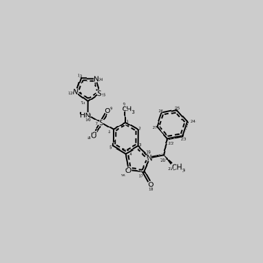 Cc1cc2c(cc1S(=O)(=O)Nc1ncns1)oc(=O)n2[C@H](C)c1ccccc1